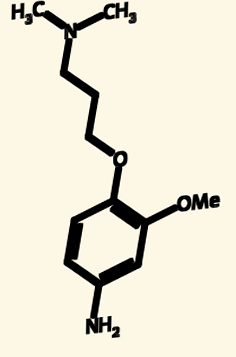 COc1cc(N)ccc1OCCCN(C)C